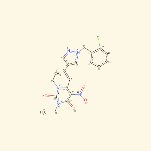 CCn1c(C=Cc2cnn(Cc3ccccc3F)c2)c([N+](=O)[O-])c(=O)n(CC)c1=O